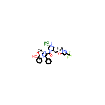 COC[C@]1(O)CCCC[C@H]1n1cnc(C(=O)N2CCNC[C@H]2CCOc2cc(C(F)(F)F)nn2C)c1-c1ccccc1.Cl.Cl